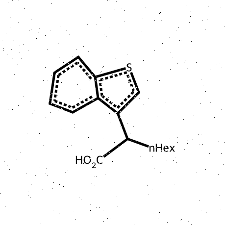 CCCCCCC(C(=O)O)c1csc2ccccc12